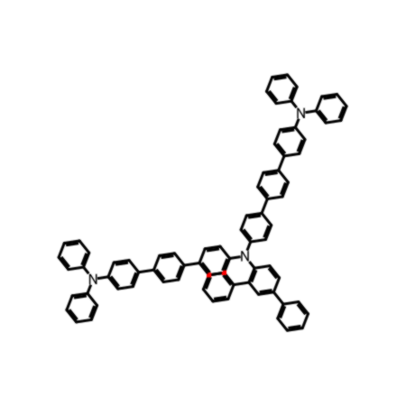 c1ccc(-c2ccc(N(c3ccc(-c4ccc(-c5ccc(N(c6ccccc6)c6ccccc6)cc5)cc4)cc3)c3ccc(-c4ccc(-c5ccc(N(c6ccccc6)c6ccccc6)cc5)cc4)cc3)c(-c3ccccc3)c2)cc1